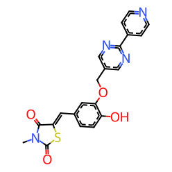 CN1C(=O)S/C(=C\c2ccc(O)c(OCc3cnc(-c4ccncc4)nc3)c2)C1=O